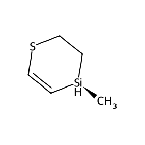 C[Si@H]1C=CSCC1